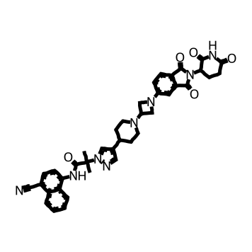 CC(C)(C(=O)Nc1ccc(C#N)c2ccccc12)n1cc(C2CCN(C3CN(c4ccc5c(c4)C(=O)N(C4CCC(=O)NC4=O)C5=O)C3)CC2)cn1